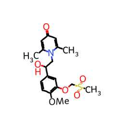 COc1ccc(C(O)Cn2c(C)cc(=O)cc2C)cc1OCS(C)(=O)=O